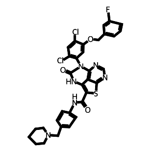 O=C(Nc1ccc(CN2CCCCC2)cc1)c1sc2ncnc3c2c1NC(=O)N3c1cc(OCc2cccc(F)c2)c(Cl)cc1Cl